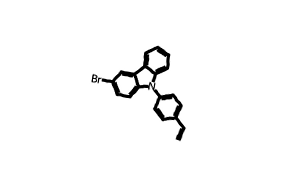 C=Cc1ccc(-n2c3ccccc3c3cc(Br)ccc32)cc1